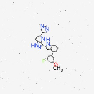 COc1cc(F)cc(-c2cccc3[nH]c(-c4n[nH]c5ccc(-c6cncnc6)nc45)cc23)c1